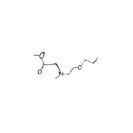 CCCOCCN(C)CC(=O)OC